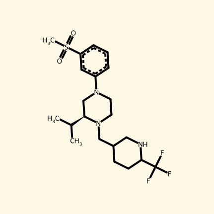 CC(C)[C@H]1CN(c2cccc(S(C)(=O)=O)c2)CCN1CC1CCC(C(F)(F)F)NC1